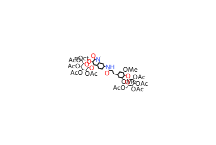 CCCCCCCCOc1c(O[C@H]2O[C@H](COC(C)=O)[C@@H](OC(C)=O)[C@H](OC(C)=O)[C@@H]2OC(C)=O)c2ccc(NC(=O)/C=C/c3cc(OC)c(O[C@H]4O[C@H](COC(C)=O)[C@@H](OC(C)=O)[C@H](OC(C)=O)[C@@H]4OC(C)=O)c(OC)c3)cc2n(C)c1=O